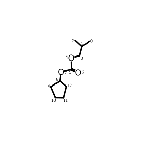 CC(C)COC(=O)OC1CCCC1